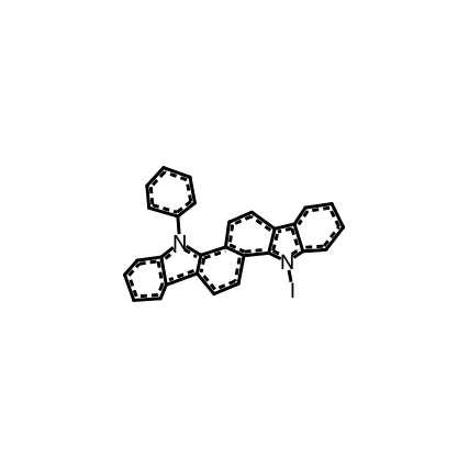 In1c2ccccc2c2ccc3c(ccc4c5ccccc5n(-c5ccccc5)c34)c21